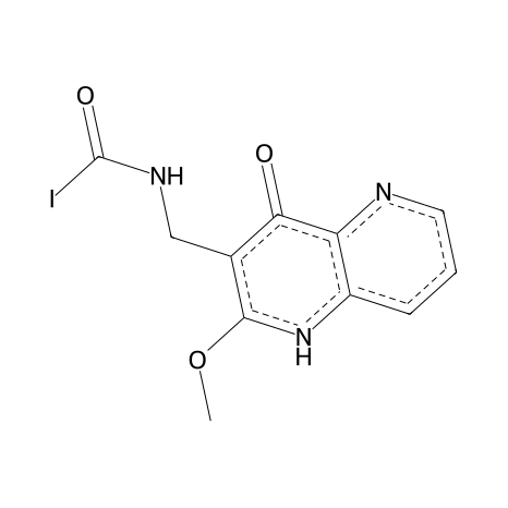 COc1[nH]c2cccnc2c(=O)c1CNC(=O)I